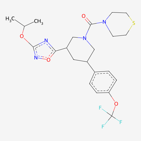 CC(C)Oc1noc(C2CC(c3ccc(OC(F)(F)F)cc3)CN(C(=O)N3CCSCC3)C2)n1